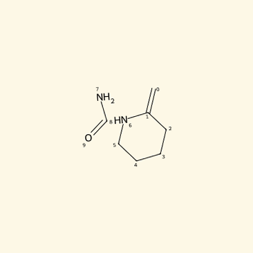 C=C1CCCCN1.NC=O